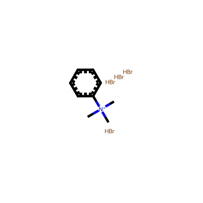 Br.Br.Br.Br.C[N+](C)(C)c1ccccc1